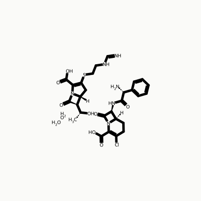 C[C@@H](O)[C@H]1C(=O)N2C(C(=O)O)=C(SCCNC=N)C[C@H]12.N[C@@H](C(=O)N[C@@H]1C(=O)N2C(C(=O)O)=C(Cl)CC[C@H]12)c1ccccc1.O.O